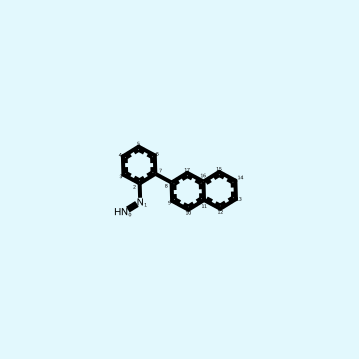 N=Nc1ccccc1-c1ccc2ccccc2c1